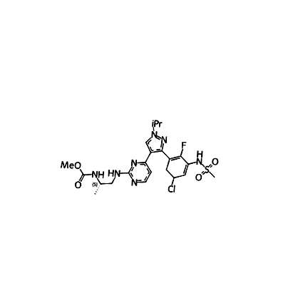 COC(=O)N[C@@H](C)CNc1nccc(-c2cn(C(C)C)nc2C2=C(F)C(NS(C)(=O)=O)=CC(Cl)C2)n1